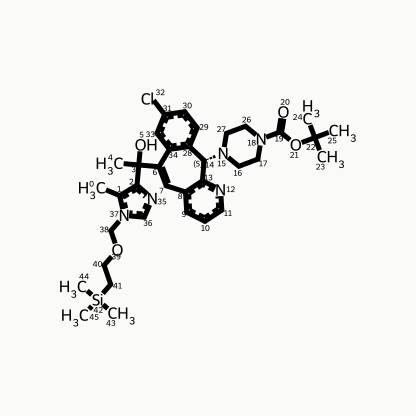 Cc1c(C(C)(O)C2=Cc3cccnc3[C@@H](N3CCN(C(=O)OC(C)(C)C)CC3)c3ccc(Cl)cc32)ncn1COCC[Si](C)(C)C